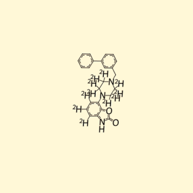 [2H]c1c([2H])c(N2C([2H])([2H])C([2H])([2H])N(Cc3cccc(-c4ccccc4)c3)C([2H])([2H])C2([2H])[2H])c2oc(=O)[nH]c2c1[2H]